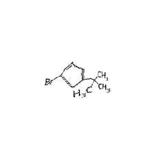 CC(C)(C)C1C=C(Br)C=CC1